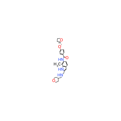 Cc1c(NC(=O)c2ccc(OC[C@@H]3CCCO3)cc2)ccc2cc(CNCC3CCOCC3)[nH]c12